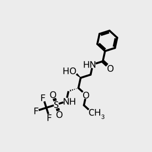 CCO[C@H](CNS(=O)(=O)C(F)(F)F)[C@@H](O)CNC(=O)c1ccccc1